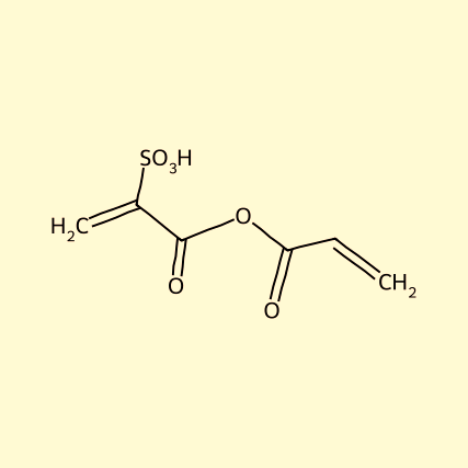 C=CC(=O)OC(=O)C(=C)S(=O)(=O)O